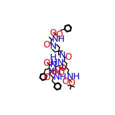 CC(C)CC(NC(=O)C(Cc1ccccc1)NC(=O)C(Cc1ccccc1)NC(=O)OC(C)(C)C)C(=O)NC(CCCCNC(=O)OC(C)(C)C)C(=O)N1CC2(CCN(C(=O)C(C)NC(=O)OCc3ccccc3)CC2)C1